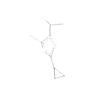 Cc1oc(C2CC2)nc1C(F)F